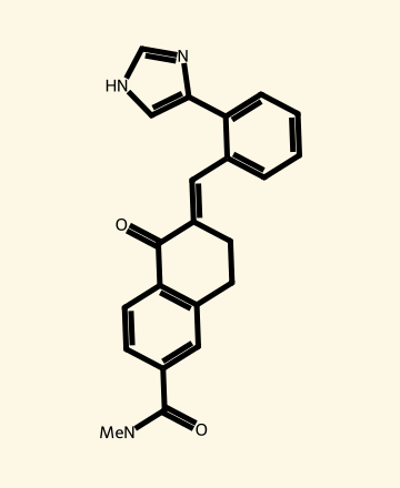 CNC(=O)c1ccc2c(c1)CC/C(=C\c1ccccc1-c1c[nH]cn1)C2=O